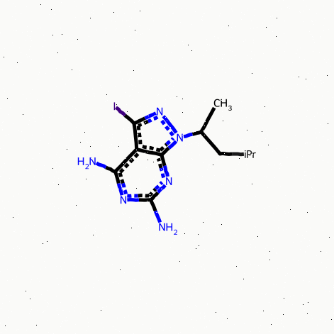 CC(C)CC(C)n1nc(I)c2c(N)nc(N)nc21